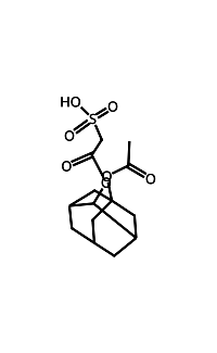 CC(=O)OC12CC3CC(C1)C(OC(=O)CS(=O)(=O)O)C(C3)C2